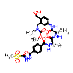 CC(C)[C@H](NC(=O)c1ccc(-c2nnc(S(C)(=O)=O)o2)cc1)C(=O)N[C@@H](C)C(=O)Nc1ccc(CO)c(CN(C)C(=O)OC(C)(C)C)c1